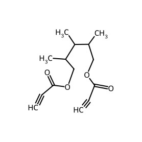 C#CC(=O)OCC(C)C(C)C(C)COC(=O)C#C